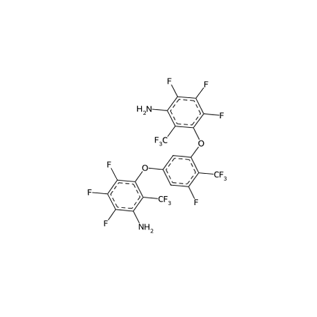 Nc1c(F)c(F)c(F)c(Oc2cc(F)c(C(F)(F)F)c(Oc3c(F)c(F)c(F)c(N)c3C(F)(F)F)c2)c1C(F)(F)F